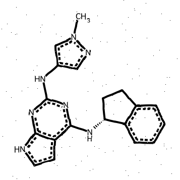 Cn1cc(Nc2nc(N[C@@H]3CCc4ccccc43)c3cc[nH]c3n2)cn1